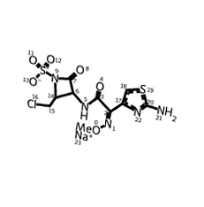 CON=C(C(=O)NC1C(=O)N(S(=O)(=O)[O-])C1CCl)c1csc(N)n1.[Na+]